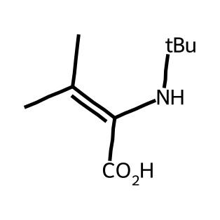 CC(C)=C(NC(C)(C)C)C(=O)O